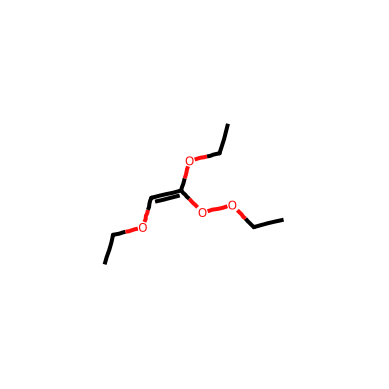 CCOC=C(OCC)OOCC